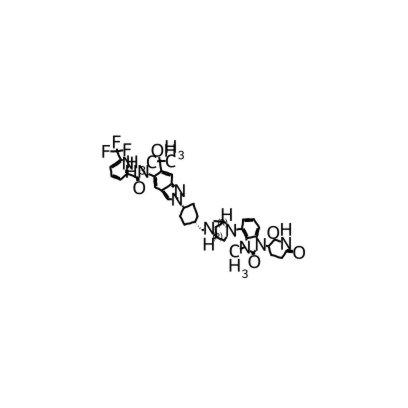 Cn1c(=O)n(C2CCC(=O)NC2=O)c2cccc(N3C[C@H]4C[C@@H]3CN4C[C@H]3CC[C@H](n4cc5cc(NC(=O)c6cccc(C(F)(F)F)n6)c(C(C)(C)O)cc5n4)CC3)c21